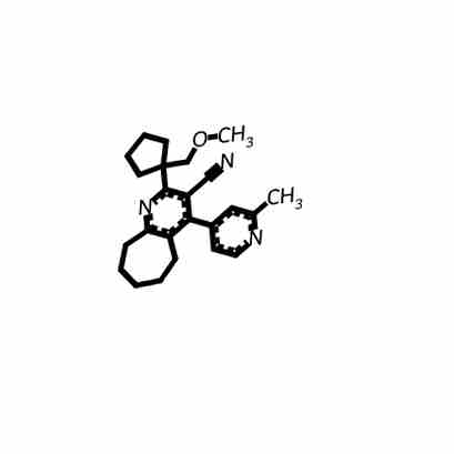 COCC1(c2nc3c(c(-c4ccnc(C)c4)c2C#N)CCCCC3)CCCC1